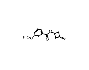 CCC1CC(OC(=O)c2cccc(OC(F)(F)F)c2)C1